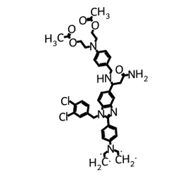 [CH2][CH]N([CH][CH2])c1ccc(-c2nc3cc(C(CC(N)=O)NCc4ccc(N(CCOC(C)=O)CCOC(C)=O)cc4)ccc3n2Cc2ccc(Cl)c(Cl)c2)cc1